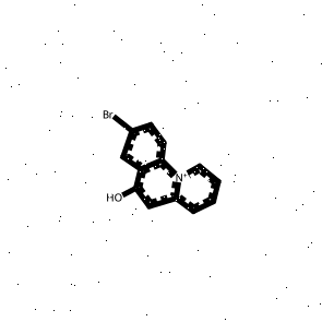 Oc1cc2cccc[n+]2c2ccc(Br)cc12